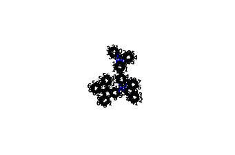 c1ccc(-c2c(-c3cccc(N(c4ccc(-c5ccc6c(c5)c5ccccc5n6-c5ccccc5)cc4)c4cc5ccccc5c5ccccc45)c3)c3ccccc3c3ccccc23)cc1